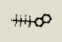 FC(F)(F)C(F)(F)C(F)(F)C(F)(F)c1ccc2ccc[c]c2c1